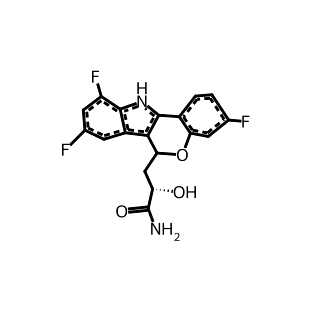 NC(=O)[C@@H](O)CC1Oc2cc(F)ccc2-c2[nH]c3c(F)cc(F)cc3c21